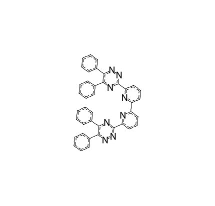 c1ccc(-c2nnc(-c3cccc(-c4cccc(-c5nnc(-c6ccccc6)c(-c6ccccc6)n5)n4)n3)nc2-c2ccccc2)cc1